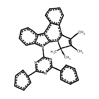 CC1=C(C)C(C)(C)c2c1c1ccccc1c1c3ccccc3n(-c3nc(-c4ccccc4)nc(-c4ccccc4)n3)c21